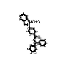 O=CC1c2ccccc2CN1C1CCN(C(=O)CC(c2ccccc2)c2ccccc2)CC1